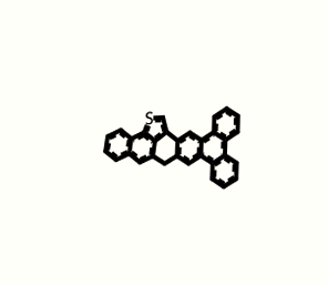 c1ccc2c(c1)cc1c3c(csc32)-c2cc3c4ccccc4c4ccccc4c3cc2C1